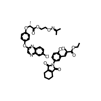 CC(C)=NOCCOC(=O)[C@@H](C)Oc1ccc(Oc2cnc3cc(Cl)ccc3n2)cc1.CCOC(=O)/C(Cl)=C/c1cc(N2C(=O)C3=C(CCCC3)C2=O)ccc1Cl